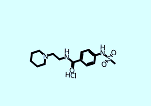 CS(=O)(=O)Nc1ccc(C(=O)NCCN2CCCCC2)cc1.Cl